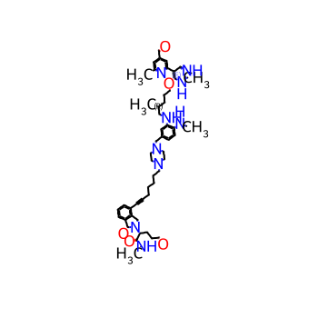 CNC(=O)C(CCC=O)N1Cc2c(C#CCCCCCN3CCN(Cc4ccc(NC)c(NC[C@H](C)CCCO/C(NC)=C(/C=N)c5cc(C=O)cc(C)n5)c4)CC3)cccc2C1=O